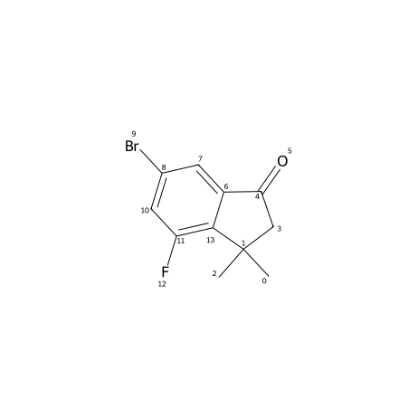 CC1(C)CC(=O)c2cc(Br)cc(F)c21